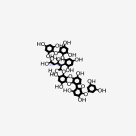 C=C(Oc1c(O)cc(O)c2c1Oc1c(O)cc3oc4c(Oc5cc(O)cc(O)c5)c(O)cc(O)c4c3c1O2)/C(=C(O)\C=C(/C)O)c1c(O)cc(O)cc1Oc1c(O)cc(O)cc1Oc1c(O)cc(O)cc1O